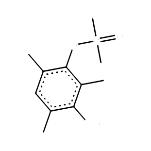 Cc1cc(C)c(OP(C)(C)=O)c(C)c1C=O